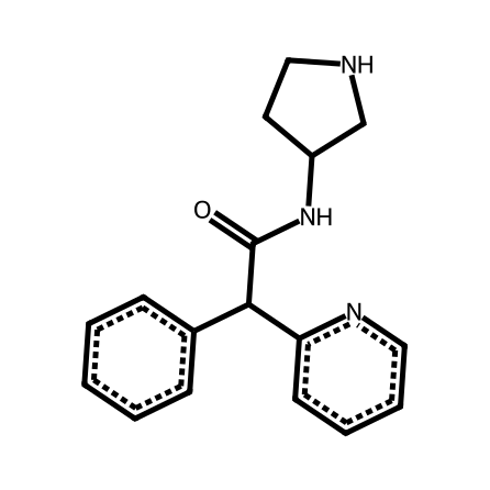 O=C(NC1CCNC1)C(c1ccccc1)c1ccccn1